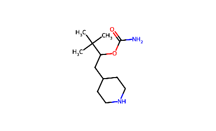 CC(C)(C)C(CC1CCNCC1)OC(N)=O